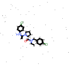 C=C(Nc1ccc(Cl)cc1)N1CCC[C@@H]1C(=O)N(CC)Cc1ccc(Cl)cc1